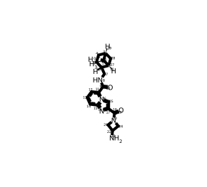 CC1(C)[C@H]2CC[C@@H](CNC(=O)c3cccc4nc(C(=O)N5CC(N)C5)cn34)[C@@H]1C2